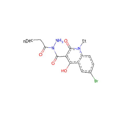 CCCCCCCCCCCC(=O)N(N)C(=O)c1c(O)c2cc(Br)ccc2n(CC)c1=O